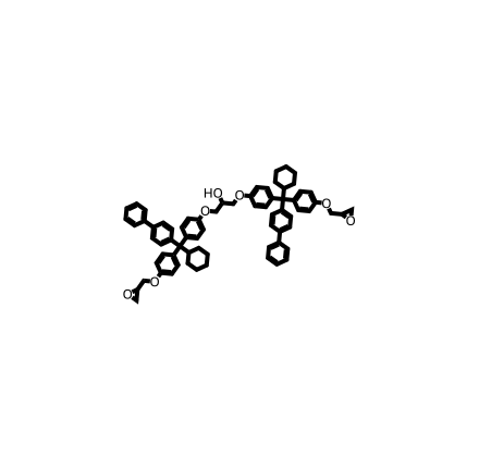 OC(COc1ccc(C(c2ccc(OCC3CO3)cc2)(c2ccc(-c3ccccc3)cc2)C2CCCCC2)cc1)COc1ccc(C(c2ccc(OCC3CO3)cc2)(c2ccc(-c3ccccc3)cc2)C2CCCCC2)cc1